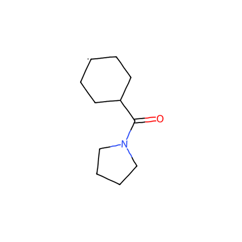 O=C(C1CC[CH]CC1)N1CCCC1